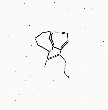 Cc1c(CCBr)c2cccc3c2n1CCC3